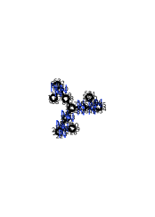 c1ccc(-n2c(-c3ccc(-c4cc(-c5ncc(-c6nc7cccnc7n6-c6ccccc6)cn5)cc(-c5ncc(-c6nc7cccnc7n6-c6ccccc6)cn5)c4)cc3)nc3cccnc32)cc1